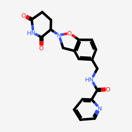 O=C1CCC(N2Cc3cc(CNC(=O)c4ccccn4)ccc3O2)C(=O)N1